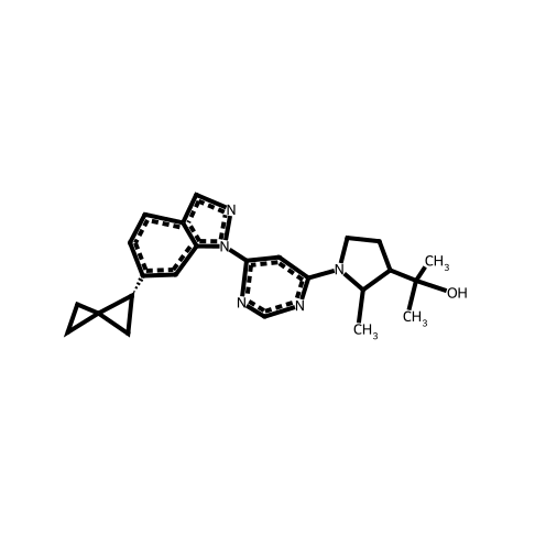 CC1C(C(C)(C)O)CCN1c1cc(-n2ncc3ccc([C@@H]4CC45CC5)cc32)ncn1